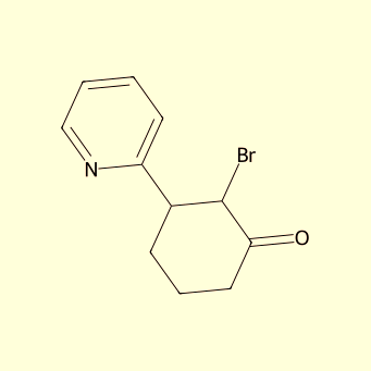 O=C1CCCC(c2ccccn2)C1Br